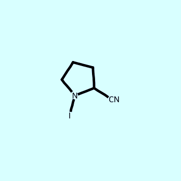 N#CC1CCCN1I